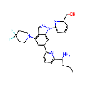 CCCC(N)c1cccc(-c2cc(N3CCC(F)(F)CC3)c3cnn(-c4cccc(CO)n4)c3c2)n1